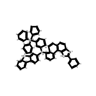 c1ccc(-c2nc3ccc4ccc5c(N(c6cccc([Si](c7ccccc7)(c7ccccc7)c7ccccc7)c6)c6ccc7c(c6)oc6ccccc67)cccc5c4c3o2)cc1